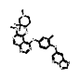 COc1ncc2ncnc(Nc3ccc(Oc4cnn5ncnc5c4)c(C)c3)c2c1O[C@@H]1CCN(C)CC1(F)F